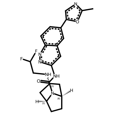 Cc1ncc(-c2ccc3nnc(NC(=O)N4[C@@H]5CC[C@H]4C[C@H](NCC(F)F)C5)cc3c2)o1